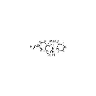 COc1ccccc1C(=O)Pc1ccc(C)cc1Cl.[LiH]